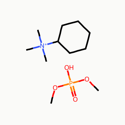 COP(=O)(O)OC.C[N+](C)(C)C1CCCCC1